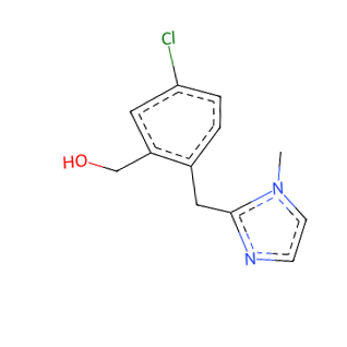 Cn1ccnc1Cc1ccc(Cl)cc1CO